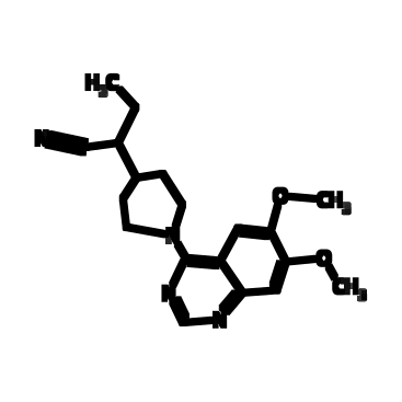 CCC(C#N)C1CCN(c2ncnc3cc(OC)c(OC)cc23)CC1